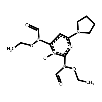 CCON(C=O)c1cc(N2CCCC2)nc(N(C=O)OCC)[n+]1[O-]